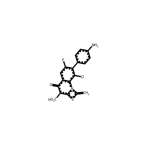 C=c1sc2c(C(=O)O)c(=O)c3cc(F)c(-c4ccc(N)cc4)c(Cl)c3n12